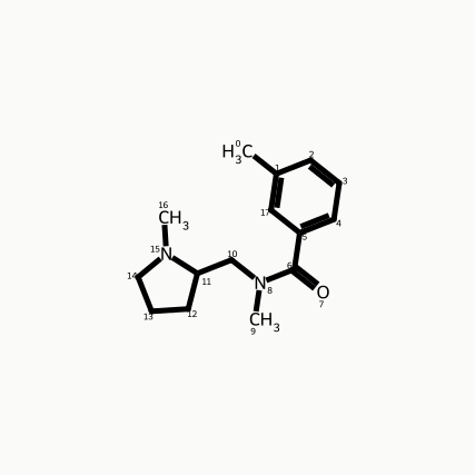 Cc1cccc(C(=O)N(C)CC2CCCN2C)c1